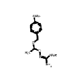 CN/C(N)=N\OC(C)OCc1ccc(OC)cc1